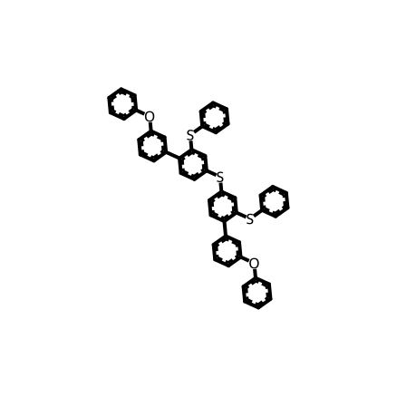 c1ccc(Oc2cccc(-c3ccc(Sc4ccc(-c5cccc(Oc6ccccc6)c5)c(Sc5ccccc5)c4)cc3Sc3ccccc3)c2)cc1